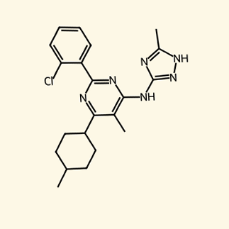 Cc1nc(Nc2nc(-c3ccccc3Cl)nc(C3CCC(C)CC3)c2C)n[nH]1